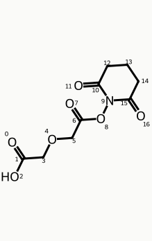 O=C(O)COCC(=O)ON1C(=O)CCCC1=O